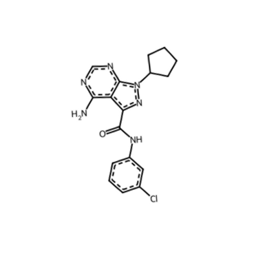 Nc1ncnc2c1c(C(=O)Nc1cccc(Cl)c1)nn2C1CCCC1